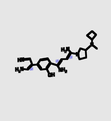 CN(C1CCC1)C1CCN(/C(N)=C/C=C(\N)c2ccc(/C(C=N)=C/N)cc2O)C1